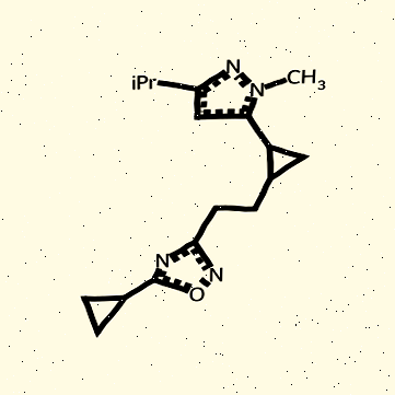 CC(C)c1cc(C2CC2CCc2noc(C3CC3)n2)n(C)n1